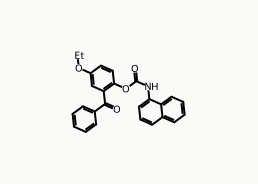 CCOc1ccc(OC(=O)Nc2cccc3ccccc23)c(C(=O)c2ccccc2)c1